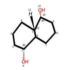 O[C@@H]1CCC[C@H]2C1CCC[C@H]2O